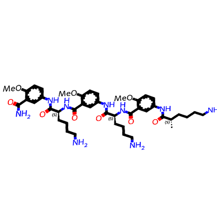 COc1ccc(NC(=O)[C@H](CCCCN)NC(=O)c2cc(NC(=O)[C@H](CCCCN)NC(=O)c3cc(NC(=O)[C@@H](C)CCCCN)ccc3OC)ccc2OC)cc1C(N)=O